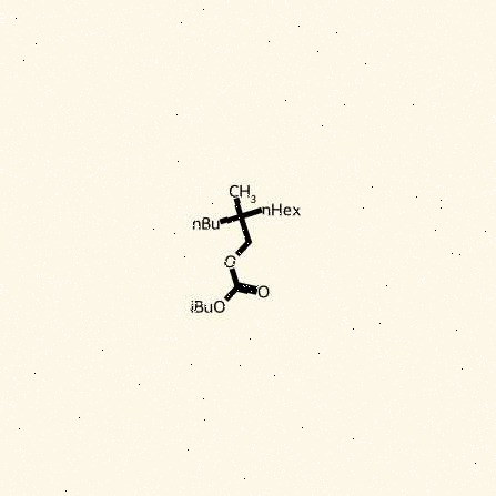 CCCCCCC(C)(CCCC)COC(=O)OCC(C)C